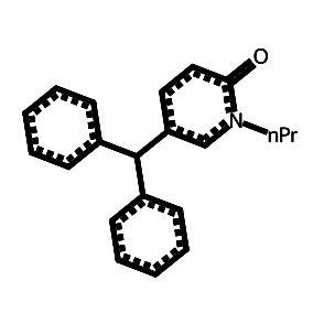 C[CH]Cn1cc(C(c2ccccc2)c2ccccc2)ccc1=O